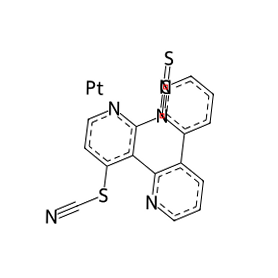 N#CSc1ccnc(N=C=S)c1-c1ncccc1-c1cccnc1.[Pt]